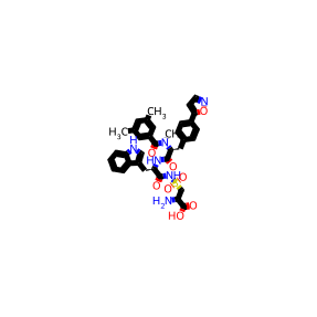 Cc1cc(C)cc(C(=O)N(C)[C@H](Cc2ccc(-c3ccno3)cc2)C(=O)N[C@@H](Cc2c[nH]c3ccccc23)C(=O)NS(=O)(=O)CC(N)C(=O)O)c1